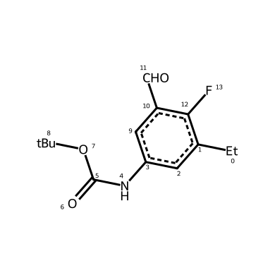 CCc1cc(NC(=O)OC(C)(C)C)cc(C=O)c1F